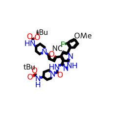 COc1ccc(-c2nc3[nH]nc(NC(=O)N4CCC(NC(=O)OC(C)(C)C)CC4)c3c(-c3ccc(N4CCC(NC(=O)OC(C)(C)C)CC4)o3)c2C#N)c(F)c1